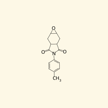 Cc1ccc(N2C(=O)C3CC4OC4CC3C2=O)cc1